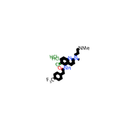 CNCCCN(C)c1ccc2c(NC(=O)CC3CCC(C(F)(F)F)CC3)c(Cl)ccc2n1.Cl.Cl